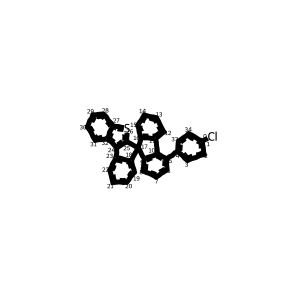 Clc1ccc(-c2cccc3c2-c2ccccc2C32c3ccccc3-c3c2sc2ccccc32)cc1